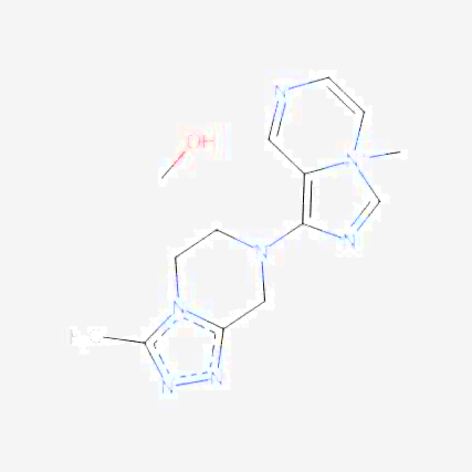 CO.C[N+]12C=CN=CC1=C(N1CCn3c(nnc3C(F)(F)F)C1)N=C2